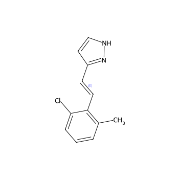 Cc1cccc(Cl)c1/C=C/c1cc[nH]n1